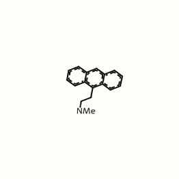 CNCCc1c2ccccc2cc2ccccc12